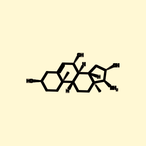 C[C@]12CC[C@H]3[C@@H]([C@@H](O)C=C4C[C@H](O)CC[C@@]43C)[C@@H]1C[C@H](O)[C@H]2N